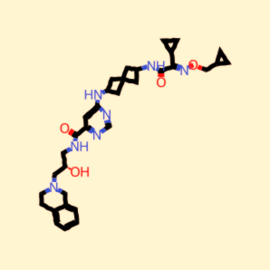 O=C(NC1CC2(C1)CC(Nc1cc(C(=O)NC[C@H](O)CN3CCc4ccccc4C3)ncn1)C2)/C(=N/OCC1CC1)C1CC1